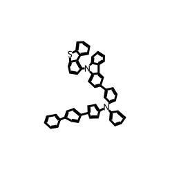 c1ccc(-c2ccc(-c3ccc(N(c4ccccc4)c4cccc(-c5ccc6c(c5)c5ccccc5n6-c5cccc6sc7ccccc7c56)c4)cc3)cc2)cc1